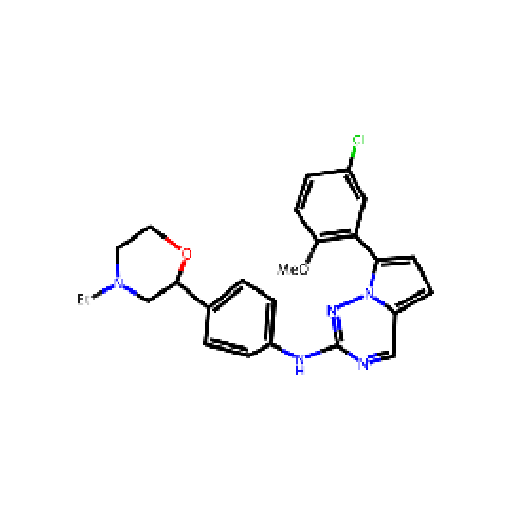 CCN1CCOC(c2ccc(Nc3ncc4ccc(-c5cc(Cl)ccc5OC)n4n3)cc2)C1